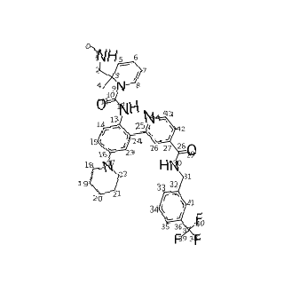 CNCC1(C)C=CC=CN1C(=O)Nc1ccc(N2CCCCC2)cc1-c1cc(C(=O)NCc2cccc(C(F)(F)F)c2)ccn1